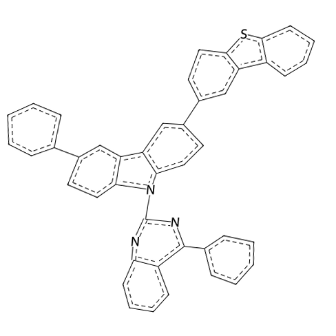 c1ccc(-c2ccc3c(c2)c2cc(-c4ccc5sc6ccccc6c5c4)ccc2n3-c2nc(-c3ccccc3)c3ccccc3n2)cc1